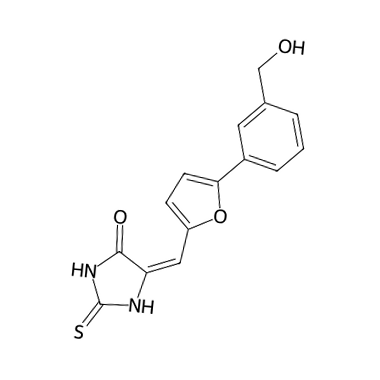 O=C1NC(=S)NC1=Cc1ccc(-c2cccc(CO)c2)o1